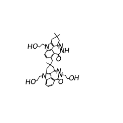 CC1(C)CC2=NNC(=O)c3c(CC4(C)CC5=NN(CCO)C(=O)c6cccc7c6c5c(n7CCO)C4)ccc4c3c2c(n4CCO)C1